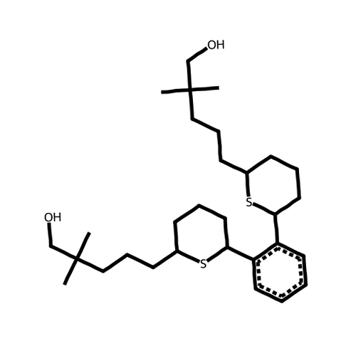 CC(C)(CO)CCCC1CCCC(c2ccccc2C2CCCC(CCCC(C)(C)CO)S2)S1